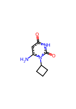 Nc1cc(=O)[nH]c(=O)n1C1CCC1